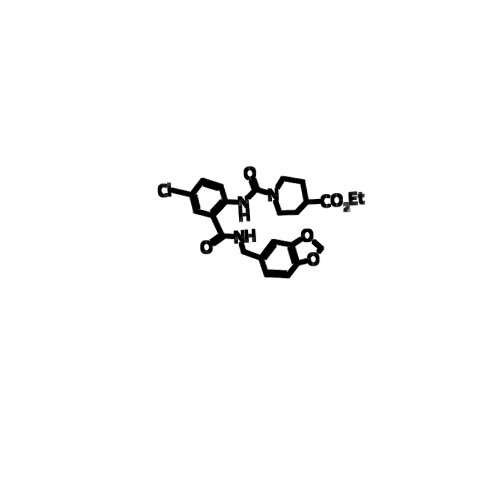 CCOC(=O)C1CCN(C(=O)Nc2ccc(Cl)cc2C(=O)NCc2ccc3c(c2)OCO3)CC1